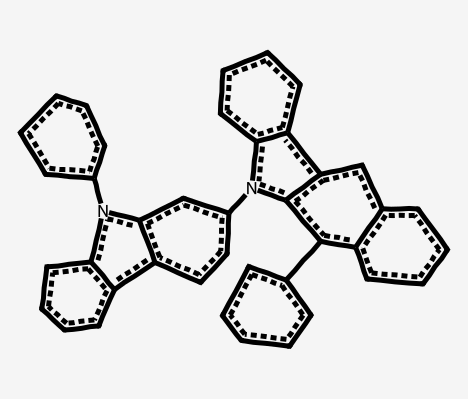 c1ccc(-c2c3ccccc3cc3c4ccccc4n(-c4ccc5c6ccccc6n(-c6ccccc6)c5c4)c23)cc1